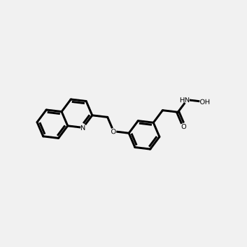 O=C(Cc1cccc(OCc2ccc3ccccc3n2)c1)NO